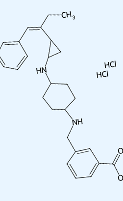 CCC(=Cc1ccccc1)C1CC1NC1CCC(NCc2cccc(C(=O)O)c2)CC1.Cl.Cl